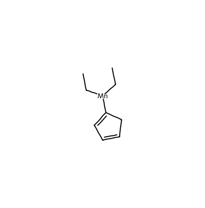 C[CH2][Mn]([CH2]C)[C]1=CC=CC1